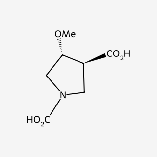 CO[C@H]1CN(C(=O)O)C[C@@H]1C(=O)O